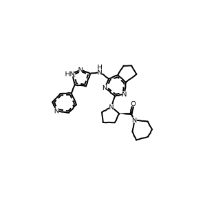 O=C([C@H]1CCCN1c1nc2c(c(Nc3cc(-c4ccncc4)[nH]n3)n1)CCC2)N1CCCCC1